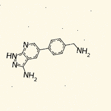 NCc1ccc(-c2cnc3[nH]nc(N)c3c2)cc1